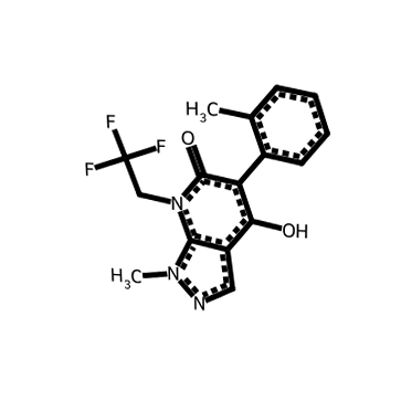 Cc1ccccc1-c1c(O)c2cnn(C)c2n(CC(F)(F)F)c1=O